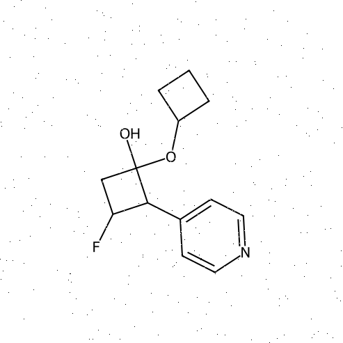 OC1(OC2CCC2)CC(F)C1c1ccncc1